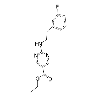 CCOC(=O)c1cnc(NCCc2cccc(F)c2)nc1